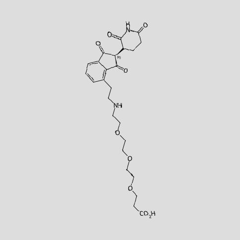 O=C(O)CCOCCOCCOCCNCCc1cccc2c1C(=O)[C@H](C1CCC(=O)NC1=O)C2=O